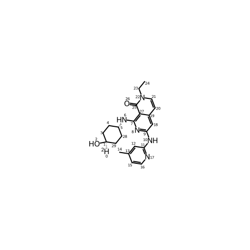 [2H][C@]1(O)CC[C@H](Nc2nc(Nc3cc(C)ccn3)cc3ccn(CC)c(=O)c23)CC1